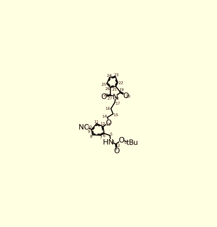 CC(C)(C)OC(=O)NCc1ccc(C#N)cc1OCCCCN1C(=O)c2ccccc2C1=O